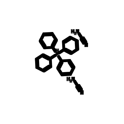 N#CN.N#CN.c1ccc([PH](c2ccccc2)(c2ccccc2)c2ccccc2)cc1